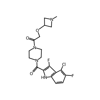 CN1CC(OCC(=O)N2CCN(C(=O)c3[nH]c4ccc(F)c(Cl)c4c3F)CC2)C1